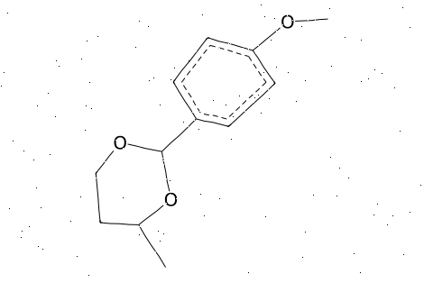 COc1ccc(C2OCCC(C)O2)cc1